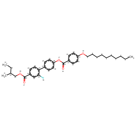 CCCCCCCCCCOc1ccc(C(=O)Oc2ccc(-c3ccc(C(=O)OCC(C)CC)cc3F)cc2)cc1